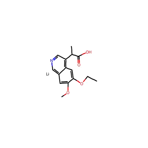 CCOc1cc2c(C(C)C(=O)O)cncc2cc1OC.[Li]